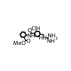 COC(=O)c1ccccc1NC(=O)c1ccc(CNC(=N)N)cc1.Cl